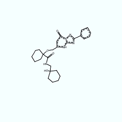 O=C(NCC1(O)CCCCC1)C1(OCc2cc(=O)n3nc(-c4ccccc4)nc3[nH]2)CCCCC1